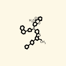 CCc1cc(-c2ccc(-c3ccccc3)cc2)cc2c1sc1ccc(N(c3ccc(-c4cccc5ccccc45)cc3)c3ccc4c(c3)Oc3ccccc3C4(C)C)cc12